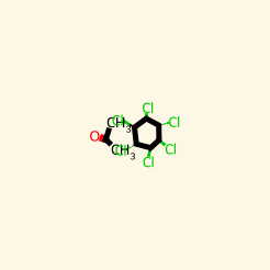 CC(C)=O.Cl[C@H]1[C@H](Cl)[C@@H](Cl)[C@@H](Cl)[C@H](Cl)[C@H]1Cl